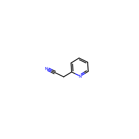 N#C[CH]c1ccccn1